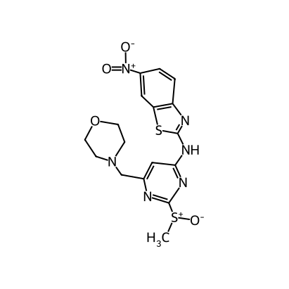 C[S+]([O-])c1nc(CN2CCOCC2)cc(Nc2nc3ccc([N+](=O)[O-])cc3s2)n1